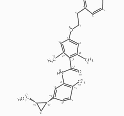 C/C=C\C(=C/C)CCOc1cc(C)c(C(=O)Nc2cc([C@H]3C[C@H]3C(=O)O)ccc2C(F)(F)F)c(C)c1